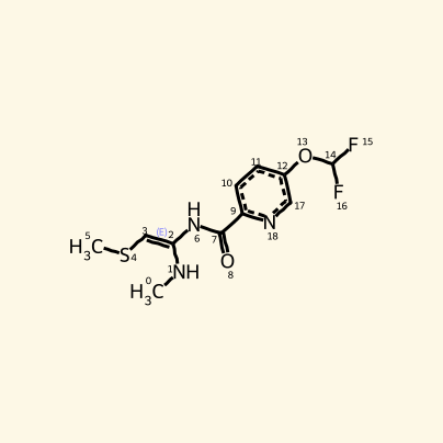 CN/C(=C\SC)NC(=O)c1ccc(OC(F)F)cn1